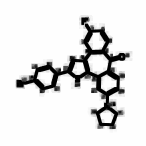 O=c1c2ccc(F)cc2c2cc(-c3ccc(Br)cc3)sc2c2cc(N3CCCC3)ccc12